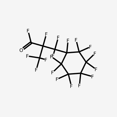 O=C(F)C(F)(C(F)(F)F)C(F)(F)C1(F)C(F)(F)C(F)(F)C(F)(F)C(F)(F)C1(F)F